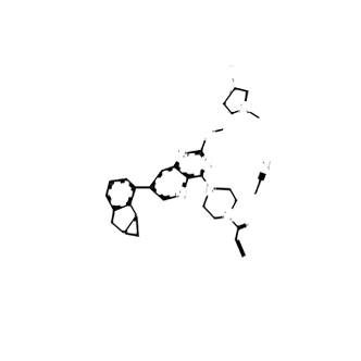 C=CC(=O)N1CCN(c2nc(OC[C@@H]3C[C@@H](F)CN3C)nc3cc(-c4cccc5c4C4CC4C5)cnc23)C[C@@H]1CC#N